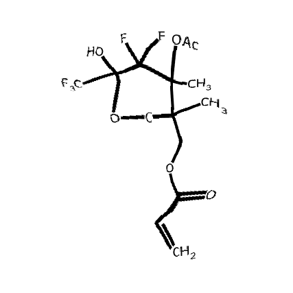 C=CC(=O)OCC1(C)COC(O)(C(F)(F)F)C(F)(F)C1(C)OC(C)=O